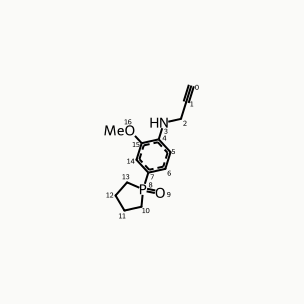 C#CCNc1ccc(P2(=O)CCCC2)cc1OC